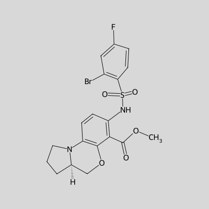 COC(=O)c1c(NS(=O)(=O)c2ccc(F)cc2Br)ccc2c1OC[C@H]1CCCN21